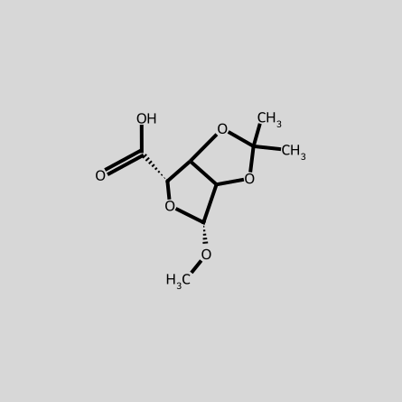 CO[C@@H]1O[C@H](C(=O)O)C2OC(C)(C)OC21